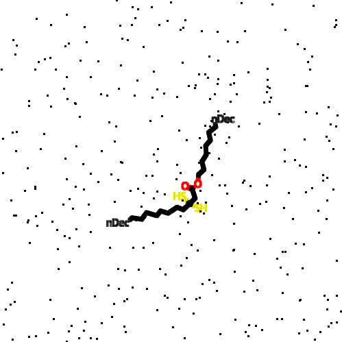 CCCCCCCCCCCCCCCCCCOC(=O)CC(S)(S)CCCCCCCCCCCCCCCCCC